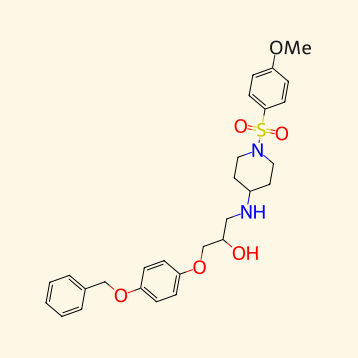 COc1ccc(S(=O)(=O)N2CCC(NCC(O)COc3ccc(OCc4ccccc4)cc3)CC2)cc1